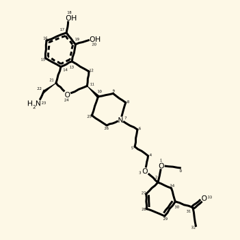 COC1(OCCCN2CCC([C@@H]3Cc4c(ccc(O)c4O)[C@H](CN)O3)CC2)C=CC=C(C(C)=O)C1